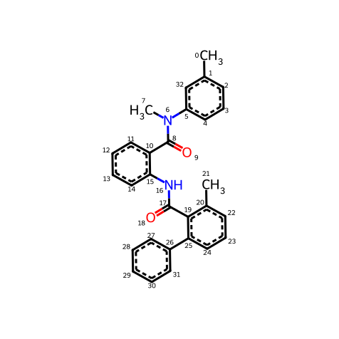 Cc1cccc(N(C)C(=O)c2ccccc2NC(=O)c2c(C)cccc2-c2ccccc2)c1